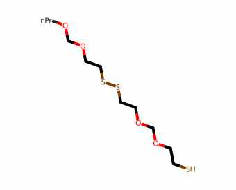 CCCOCOCCSSCCOCOCCS